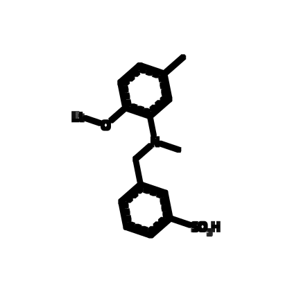 CCOc1ccc(C)cc1N(C)Cc1cccc(S(=O)(=O)O)c1